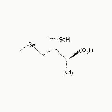 C[SeH].C[Se]CC[C@H](N)C(=O)O